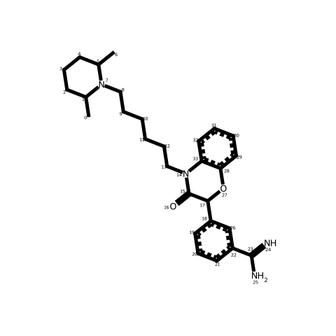 CC1CCCC(C)N1CCCCCCN1C(=O)C(c2cccc(C(=N)N)c2)Oc2ccccc21